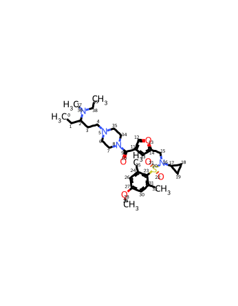 CCC(CCN1CCN(C(=O)c2coc(CN(C3CC3)S(=O)(=O)c3c(C)cc(OC)cc3C)c2)CC1)N(C)CC